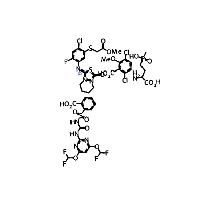 COC(=O)CSc1cc(/N=c2\sc(=O)n3n2CCCC3)c(F)cc1Cl.COc1c(Cl)ccc(Cl)c1C(=O)O.CP(=O)(O)CCC(N)C(=O)O.O=C(Nc1nc(OC(F)F)cc(OC(F)F)n1)NS(=O)(=O)c1ccccc1C(=O)O